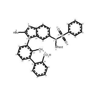 CCCCCN(c1ccc2nc(CCCC)n(-c3cccc(-c4ccccc4C(=O)O)c3C)c2c1)S(=O)(=O)c1ccccc1